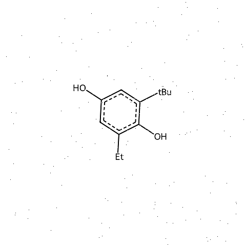 CCc1cc(O)cc(C(C)(C)C)c1O